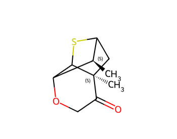 C[C@@H]1C2C[C@@]3(C)C(=O)COC1C3S2